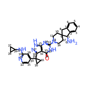 N[C@@H]1c2ccccc2CC12CCN(c1nc3[nH]nc(C4(c5ccnc(NC6CC6)c5)CC4)c3c(=O)[nH]1)CC2